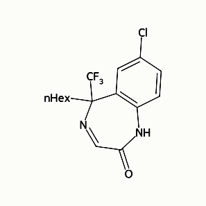 CCCCCCC1(C(F)(F)F)N=CC(=O)Nc2ccc(Cl)cc21